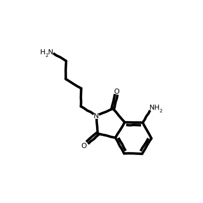 NCCCCN1C(=O)c2cccc(N)c2C1=O